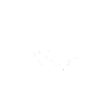 CCCC(=O)N(Cc1ccc2c(c1)c1ccccc1n2CC)c1nc2ccccc2n1C